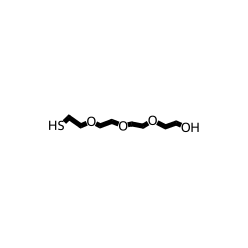 OCCOCCOCCOCCS